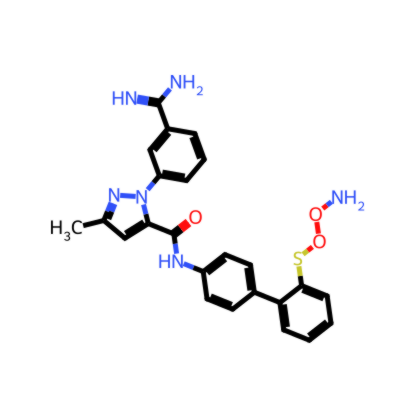 Cc1cc(C(=O)Nc2ccc(-c3ccccc3SOON)cc2)n(-c2cccc(C(=N)N)c2)n1